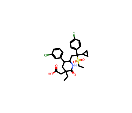 CCC1(CC(=O)O)CC(c2cccc(Cl)c2)C(CC(c2ccc(Cl)cc2)(C2CC2)S(=O)(=O)CC)NC1=O